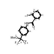 COC(c1ccc(NC(=O)c2cccnc2F)cc1)(C(F)(F)F)C(F)(F)F